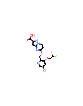 O=C(O)c1cc2nc(OCc3ncc(Cl)cc3OCC(F)F)ccn2n1